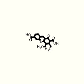 CCC1=C(CC)C(C(=O)O)C(=O)c2cc3ccc(C(=O)O)cc3nc21